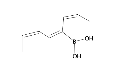 C\C=C/C=C(\C=C/C)B(O)O